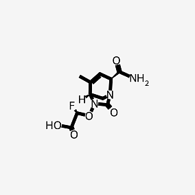 CC1=C[C@@H](C(N)=O)N2C[C@@H]1N(O[C@H](F)C(=O)O)C2=O